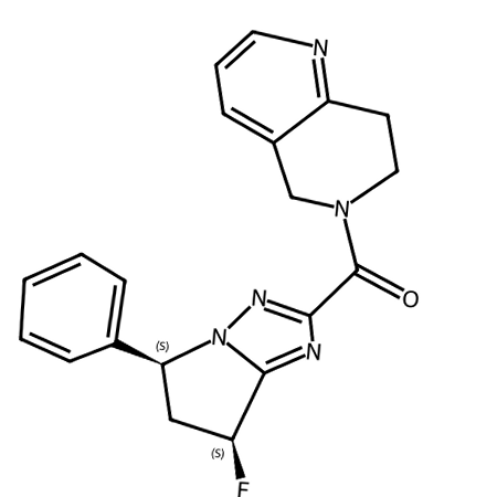 O=C(c1nc2n(n1)[C@H](c1ccccc1)C[C@@H]2F)N1CCc2ncccc2C1